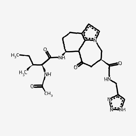 CC[C@H](C)[C@H](NC(C)=O)C(=O)N[C@H]1CCc2ccn3c2C1C(=O)C[C@H](C(=O)NCc1c[nH]nn1)C3